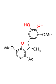 COc1cc(C2Oc3c(OC)ccc(C(C)=O)c3C2C)cc(O)c1O